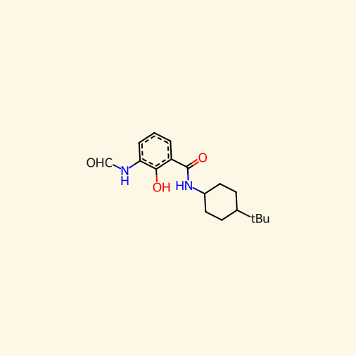 CC(C)(C)C1CCC(NC(=O)c2cccc(NC=O)c2O)CC1